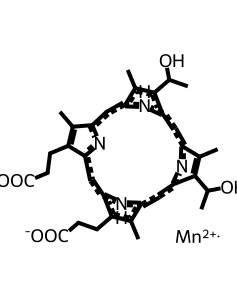 CC1=C(CCC(=O)[O-])c2cc3[nH]c(cc4nc(cc5[nH]c(cc1n2)c(C)c5C(C)O)C(C)=C4C(C)O)c(C)c3CCC(=O)[O-].[Mn+2]